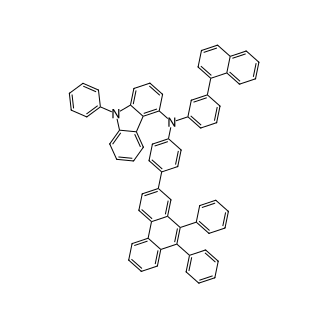 c1ccc(-c2c(-c3ccccc3)c3cc(-c4ccc(N(c5cccc(-c6cccc7ccccc67)c5)c5cccc6c5c5ccccc5n6-c5ccccc5)cc4)ccc3c3ccccc23)cc1